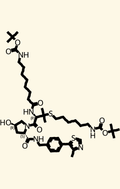 Cc1ncsc1-c1ccc(CNC(=O)[C@@H]2C[C@@H](O)CN2C(=O)[C@@H](NC(=O)CCCCCCCNC(=O)OC(C)(C)C)C(C)(C)SCCCCCCNC(=O)OC(C)(C)C)cc1